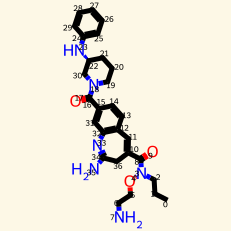 CCCN(OCCN)C(=O)C1=Cc2ccc(C(=O)N3CCC[C@H](Nc4ccccc4)C3)cc2N=C(N)C1